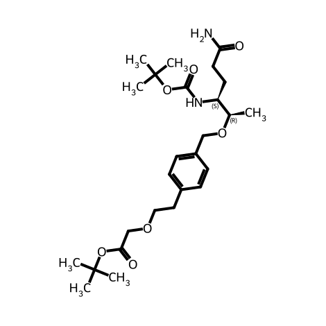 C[C@@H](OCc1ccc(CCOCC(=O)OC(C)(C)C)cc1)[C@H](CCC(N)=O)NC(=O)OC(C)(C)C